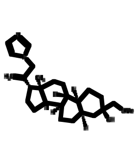 C=C(Cn1ccnc1)[C@H]1CC[C@H]2[C@@H]3CC[C@@H]4C[C@@](O)(COC)CC[C@@H]4[C@H]3CC[C@]12C